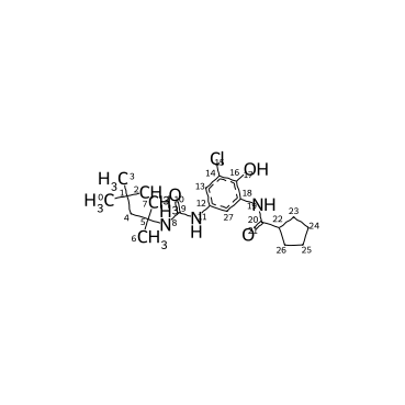 CC(C)(C)CC(C)(C)NC(=O)Nc1cc(Cl)c(O)c(NC(=O)C2CCCC2)c1